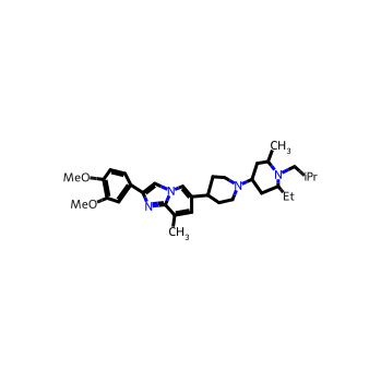 CCC1CC(N2CCC(c3cc(C)c4nc(-c5ccc(OC)c(OC)c5)cn4c3)CC2)CC(C)N1CC(C)C